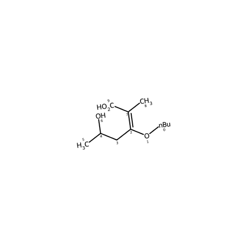 CCCCOC(CC(C)O)=C(C)C(=O)O